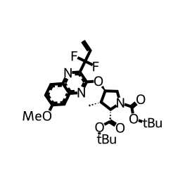 C=CC(F)(F)c1nc2ccc(OC)cc2nc1O[C@H]1CN(C(=O)OC(C)(C)C)[C@H](C(=O)OC(C)(C)C)[C@@H]1C